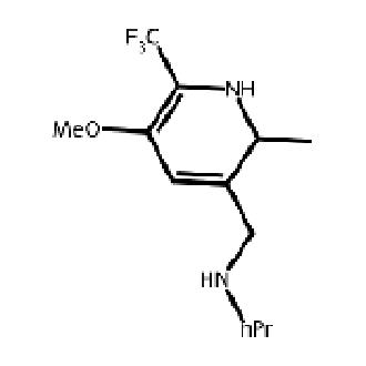 CCCNCC1=CC(OC)=C(C(F)(F)F)NC1C